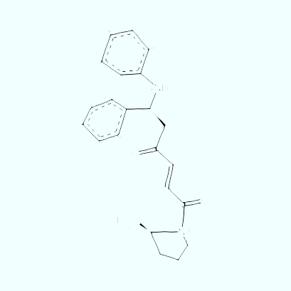 O=C(C=CC(=O)N1CCC[C@H]1C(=O)O)C[C@H](Nc1ccccc1)c1ccccc1